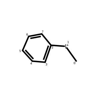 C[I+]c1ccccc1